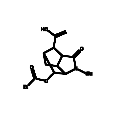 C=C(O)C1C2CC3C1C(=O)N(C(C)(C)C)C3C2OC(=O)CC